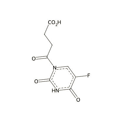 O=C(O)CCC(=O)n1cc(F)c(=O)[nH]c1=O